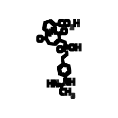 CC(=N)Nc1ccc(CCP(=O)(O)CC2=CCC(=O)N3C=CC=C(C(=O)O)N3C2=O)cc1